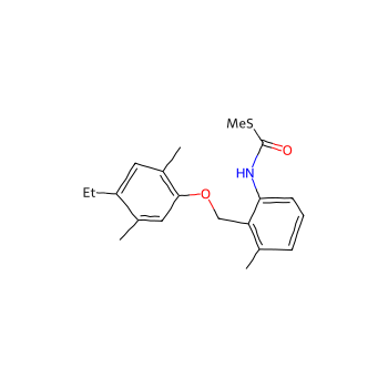 CCc1cc(C)c(OCc2c(C)cccc2NC(=O)SC)cc1C